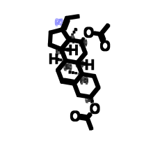 C/C=C1/CC[C@H]2[C@@H]3CC=C4C[C@@H](OC(C)=O)CC[C@]4(C)[C@H]3C[C@@H](OC(C)=O)[C@]12C